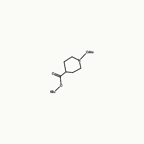 CON1CCC(C(=O)OC(C)(C)C)CC1